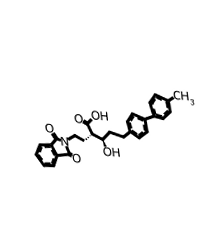 Cc1ccc(-c2ccc(CC[C@@H](O)[C@H](CCN3C(=O)c4ccccc4C3=O)C(=O)O)cc2)cc1